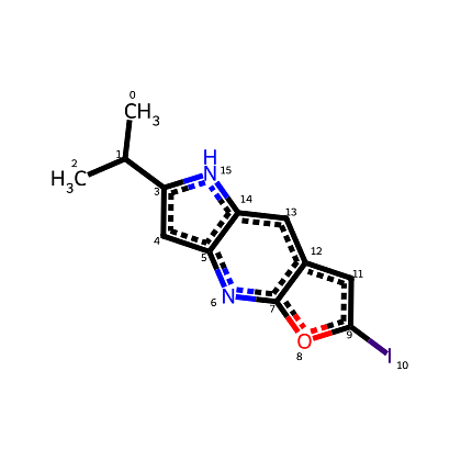 CC(C)c1cc2nc3oc(I)cc3cc2[nH]1